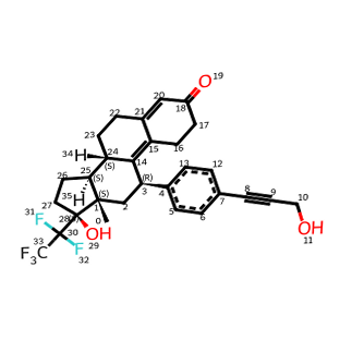 C[C@]12C[C@H](c3ccc(C#CCO)cc3)C3=C4CCC(=O)C=C4CC[C@H]3[C@@H]1CC[C@@]2(O)C(F)(F)C(F)(F)F